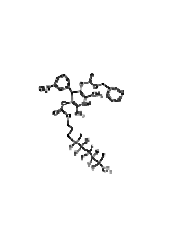 CC1=C(OC(=O)OCCCC(F)(F)C(F)(F)C(F)(F)C(F)(F)C(F)(F)C(F)(F)F)C(c2cccc([N+](=O)[O-])c2)C(OC(=O)OCc2cccnc2)=C(C)N1